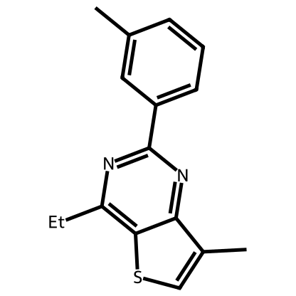 CCc1nc(-c2cccc(C)c2)nc2c(C)csc12